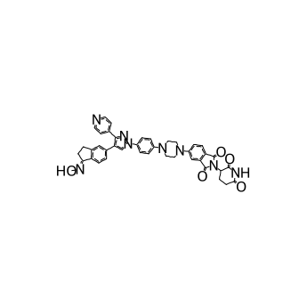 O=C1CCC(N2C(=O)c3ccc(N4CCN(c5ccc(-n6cc(-c7ccc8c(c7)CCC8=NO)c(-c7ccncc7)n6)cc5)CC4)cc3C2=O)C(=O)N1